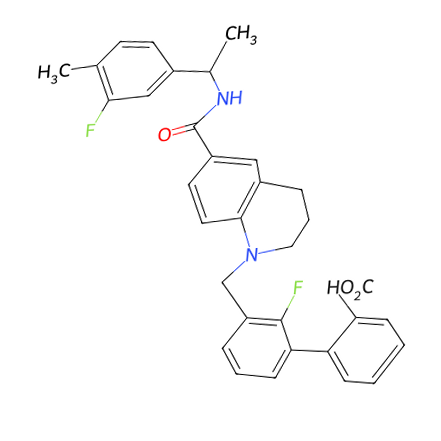 Cc1ccc(C(C)NC(=O)c2ccc3c(c2)CCCN3Cc2cccc(-c3ccccc3C(=O)O)c2F)cc1F